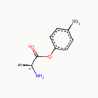 CC(C)[C@H](N)C(=[18O])Oc1ccc([N+](=O)[O-])cc1